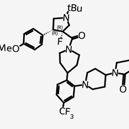 COc1ccc([C@@H]2CN(C(C)(C)C)C[C@@]2(F)C(=O)N2CCC(c3ccc(C(F)(F)F)cc3N3CCC(N4CCCC4=O)CC3)CC2)cc1